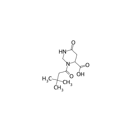 CC(C)(C)CC(=O)N1CNC(=O)CC1C(=O)O